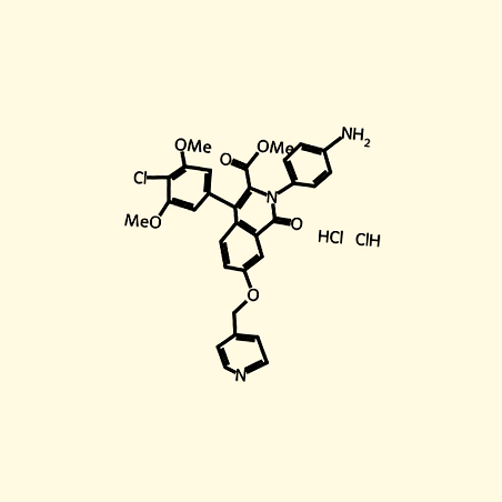 COC(=O)c1c(-c2cc(OC)c(Cl)c(OC)c2)c2ccc(OCc3ccncc3)cc2c(=O)n1-c1ccc(N)cc1.Cl.Cl